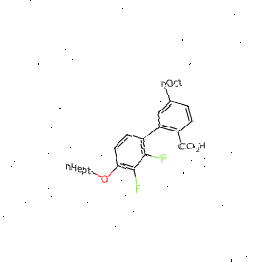 CCCCCCCCc1ccc(C(=O)O)c(-c2ccc(OCCCCCCC)c(F)c2F)c1